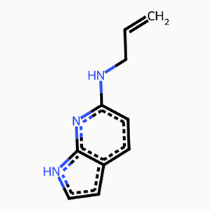 C=CCNc1ccc2cc[nH]c2n1